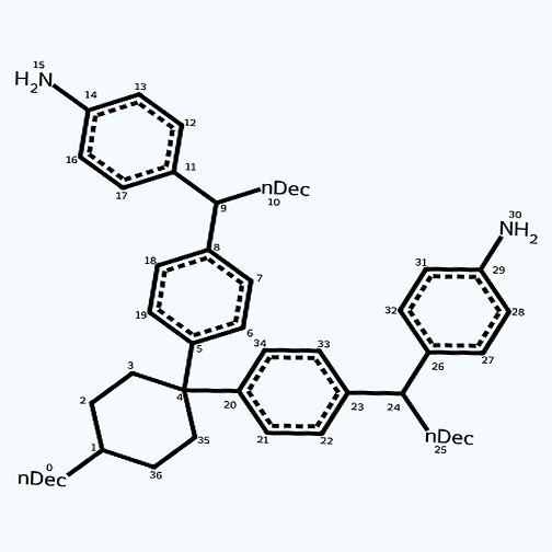 CCCCCCCCCCC1CCC(c2ccc(C(CCCCCCCCCC)c3ccc(N)cc3)cc2)(c2ccc(C(CCCCCCCCCC)c3ccc(N)cc3)cc2)CC1